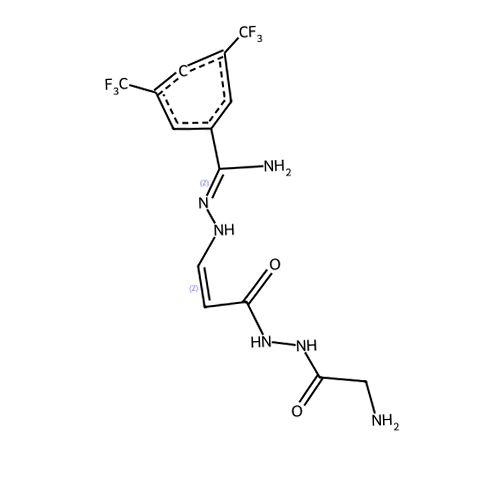 NCC(=O)NNC(=O)/C=C\N/N=C(\N)c1cc(C(F)(F)F)cc(C(F)(F)F)c1